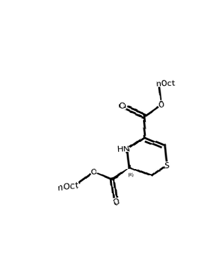 CCCCCCCCOC(=O)C1=CSC[C@@H](C(=O)OCCCCCCCC)N1